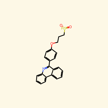 O=[SH](=O)CCCOc1ccc(-c2nc3ccccc3c3ccccc23)cc1